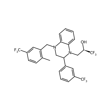 Cc1ccc(C(F)(F)F)cc1CN1CC(c2cccc(C(F)(F)F)c2)N(C[C@@H](O)C(F)(F)F)c2ccccc21